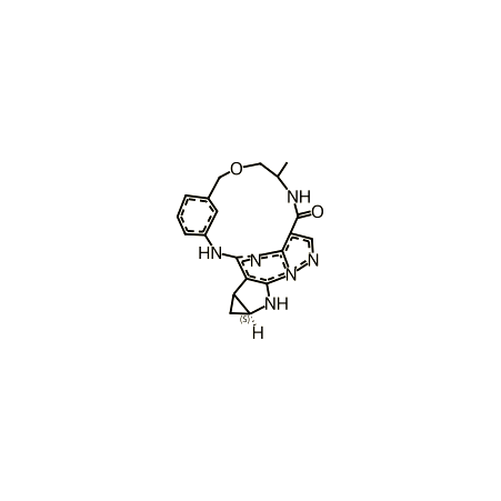 CC1COCc2cccc(c2)Nc2nc3c(cnn3c3c2C2C[C@@H]2N3)C(=O)N1